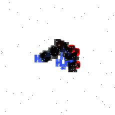 CCC(N)C(=O)N1CC(=O)C2C1CCN2C(=O)C(CC(C)C)NC(=O)c1ccc(N2CCNCC2)cc1